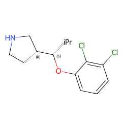 CC(C)[C@H](Oc1cccc(Cl)c1Cl)[C@@H]1CCNC1